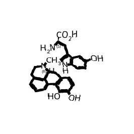 CN1CCc2cccc3c2[C@H]1Cc1ccc(O)c(O)c1-3.N[C@@H](Cc1c[nH]c2ccc(O)cc12)C(=O)O